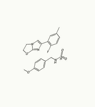 COc1ccc(CN[SH](=O)=O)cc1.Cc1ccc(F)c(-c2cn3c(n2)OCC3)c1